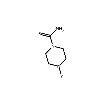 NC(=S)N1CC[N]([Y])CC1